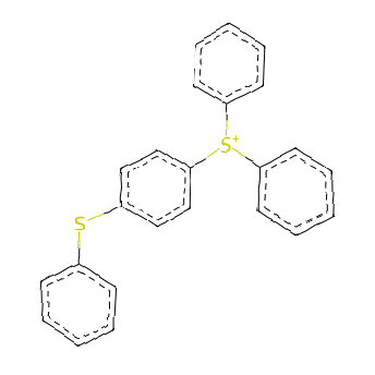 c1ccc(Sc2ccc([S+](c3ccccc3)c3ccccc3)cc2)cc1